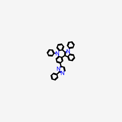 c1ccc(-c2nccc(-c3ccc4c(c3)-c3c(n(-c5ccccc5)c5ccccc35)-c3ccccc3N4c3ccccc3)n2)cc1